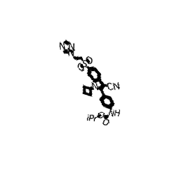 CC(C)OC(=O)Nc1ccc(-c2c(C#N)c3ccc(S(=O)(=O)CCn4cncn4)cc3n2C2CCC2)cc1